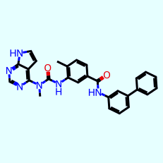 Cc1ccc(C(=O)Nc2cccc(-c3ccccc3)c2)cc1NC(=O)N(C)c1ncnc2[nH]ccc12